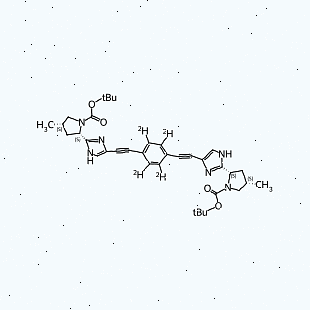 [2H]c1c([2H])c(C#Cc2c[nH]c([C@@H]3C[C@H](C)CN3C(=O)OC(C)(C)C)n2)c([2H])c([2H])c1C#Cc1c[nH]c([C@@H]2C[C@H](C)CN2C(=O)OC(C)(C)C)n1